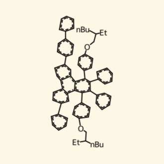 CCCCC(CC)COc1ccc(-c2c(-c3ccccc3)c(-c3ccccc3)c(-c3ccc(OCC(CC)CCCC)cc3)c3c4cc(-c5ccc(-c6ccccc6)cc5)ccc4c4ccc(-c5ccccc5)cc4c23)cc1